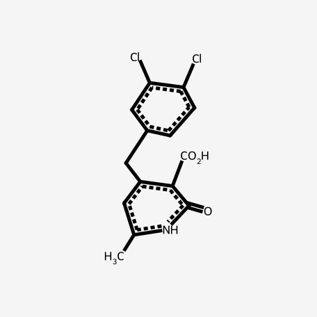 Cc1cc(Cc2ccc(Cl)c(Cl)c2)c(C(=O)O)c(=O)[nH]1